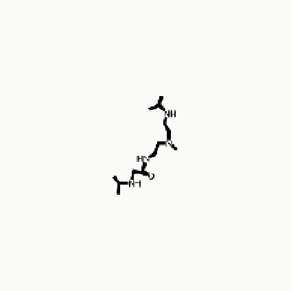 CC(C)NCCN(C)CCNC(=O)CNC(C)C